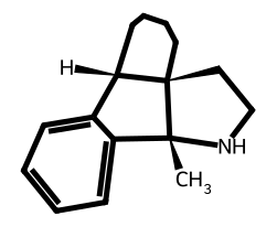 C[C@]12NCC[C@@]13CCCC[C@H]3c1ccccc12